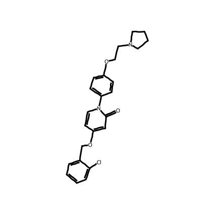 O=c1cc(OCc2ccccc2Cl)ccn1-c1ccc(OCCN2CCCC2)cc1